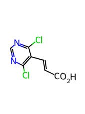 O=C(O)C=Cc1c(Cl)ncnc1Cl